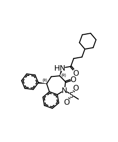 CS(=O)(=O)N1C(=O)[C@H](NC(=O)CCC2CCCCC2)C[C@H](c2ccccc2)c2ccccc21